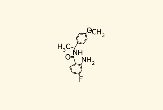 COc1ccc(C(C)NC(=O)c2ccc(F)cc2N)cc1